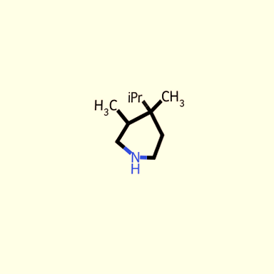 CC(C)C1(C)CCNCC1C